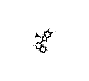 Fc1cc2nc(-c3cncc4cccnc34)n(C3CC3)c2cc1F